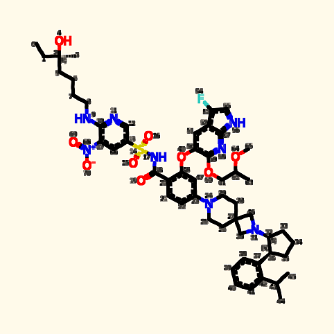 CC[C@@](C)(O)CCCCNc1ncc(S(=O)(=O)NC(=O)c2ccc(N3CCC4(CC3)CN([C@H]3CCC[C@H]3c3ccccc3C(C)C)C4)cc2Oc2cc3c(F)c[nH]c3nc2OCC(C)OC)cc1[N+](=O)[O-]